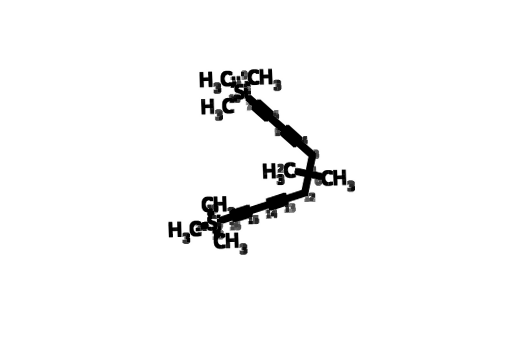 CC(C)(CC#CC#C[Si](C)(C)C)CC#CC#C[Si](C)(C)C